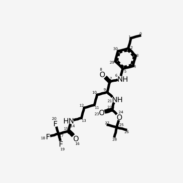 CCc1ccc(NC(=O)C(CCCCNC(=O)C(F)(F)F)NC(=O)OC(C)(C)C)cc1